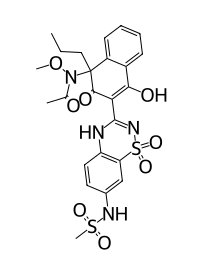 CCCC1(N(OC)C(C)=O)C(=O)C(C2=NS(=O)(=O)c3cc(NS(C)(=O)=O)ccc3N2)=C(O)c2ccccc21